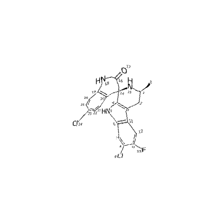 C[C@H]1Cc2c([nH]c3cc(Cl)c(F)cc23)[C@@]2(N1)C(=O)NC1=C2C=C=C(Cl)C=C1